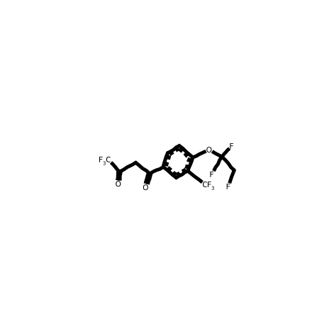 O=C(CC(=O)C(F)(F)F)c1ccc(OC(F)(F)CF)c(C(F)(F)F)c1